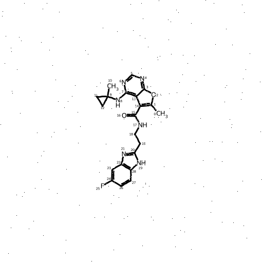 Cc1oc2ncnc(NC3(C)CC3)c2c1C(=O)NCCc1nc2cc(F)ccc2[nH]1